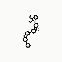 C=Cc1c(/C=C\C)c2ccccc2n1C1=Cc2c(oc3ccc(-c4ccc5sc6ccc(-c7ccccc7)cc6c5c4)cc23)CC1